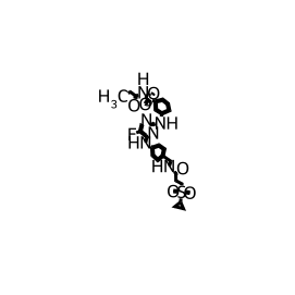 CCC(=O)NS(=O)(=O)c1cccc(Nc2ncc(F)c(Nc3ccc(CNC(=O)CCS(=O)(=O)C4CC4)cc3)n2)c1